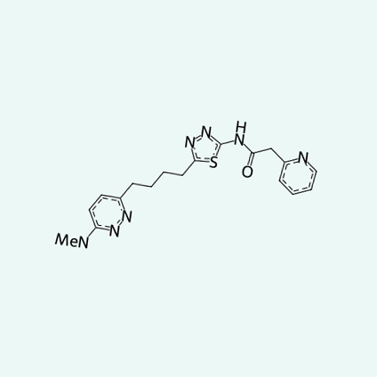 CNc1ccc(CCCCc2nnc(NC(=O)Cc3ccccn3)s2)nn1